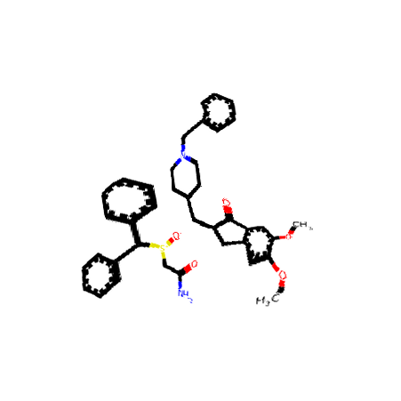 COc1cc2c(cc1OC)C(=O)C(CC1CCN(Cc3ccccc3)CC1)C2.NC(=O)C[S+]([O-])C(c1ccccc1)c1ccccc1